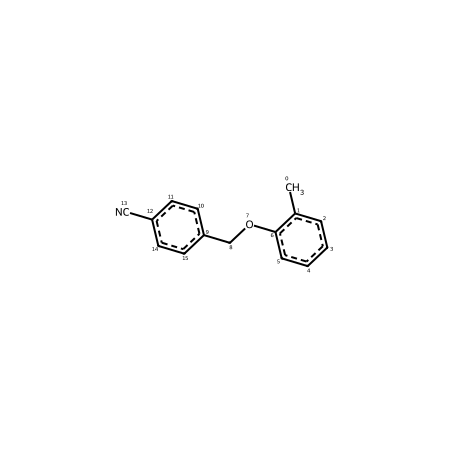 Cc1ccccc1OCc1ccc(C#N)cc1